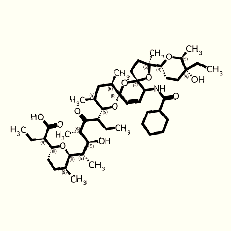 CCC(C(=O)[C@@H](C)[C@@H](O)[C@H](C)[C@@H]1O[C@@H]([C@@H](CC)C(=O)O)CC[C@@H]1C)[C@H]1O[C@]2(C=CC(NC(=O)C3CCCCC3)[C@]3(CC[C@@](C)([C@H]4CC[C@](O)(CC)[C@H](C)O4)O3)O2)[C@H](C)C[C@@H]1C